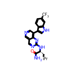 CC(C)C[C@@H](Nc1ncc2cncc(-c3c[nH]c4cc(C(F)(F)F)ccc34)c2n1)C(N)=O